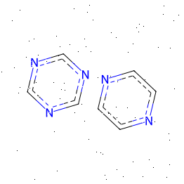 c1cnccn1.c1ncncn1